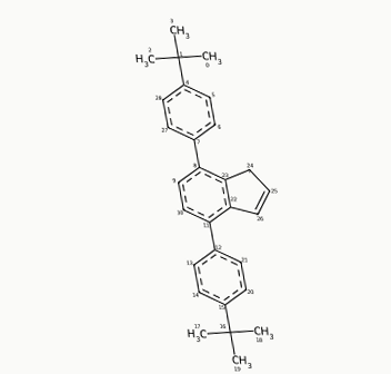 CC(C)(C)c1ccc(-c2ccc(-c3ccc(C(C)(C)C)cc3)c3c2[CH]C=C3)cc1